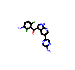 Nc1cnc(-c2cnc3[nH]cc(C(=O)c4c(F)ccc(N)c4F)c3c2)cn1